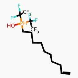 C=CCCCCCCCC[PH](O)(C(F)(F)C(F)(F)F)C(F)(F)C(F)(F)F